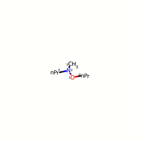 CCCON(C)CCC